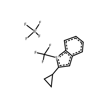 FC(F)(F)[s+]1c(C2CC2)cc2ccccc21.F[B-](F)(F)F